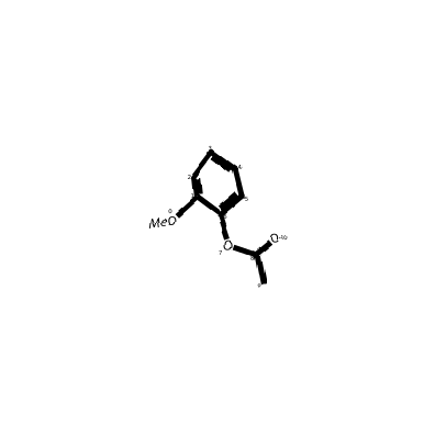 COc1ccccc1OC(C)[O]